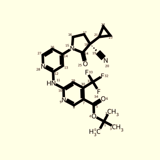 CC(C)(C)OC(=O)c1cnc(Nc2cc(N3CC[C@@](C#N)(C4CC4)C3=O)ccn2)cc1C(F)(F)F